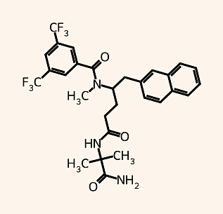 CN(C(=O)c1cc(C(F)(F)F)cc(C(F)(F)F)c1)C(CCC(=O)NC(C)(C)C(N)=O)Cc1ccc2ccccc2c1